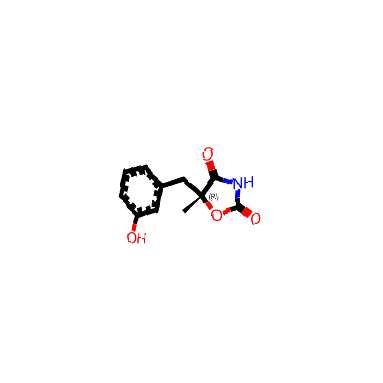 C[C@]1(Cc2cccc(O)c2)OC(=O)NC1=O